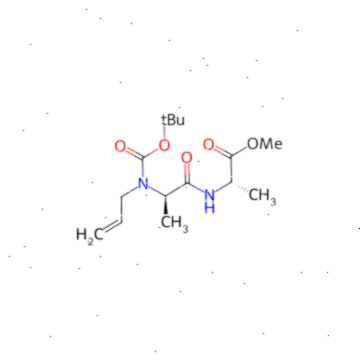 C=CCN(C(=O)OC(C)(C)C)[C@H](C)C(=O)N[C@@H](C)C(=O)OC